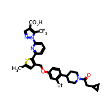 CCc1cc(OCc2cc(C)sc2-c2cccc(-n3ncc(C(=O)O)c3C(F)(F)F)n2)ccc1C1CCN(C(=O)CC2CC2)CC1